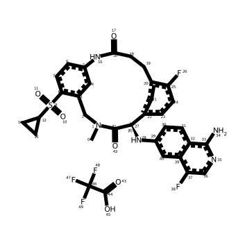 CN1Cc2cc(ccc2S(=O)(=O)C2CC2)NC(=O)CCc2cc(ccc2F)[C@@H](Nc2ccc3c(N)ncc(F)c3c2)C1=O.O=C(O)C(F)(F)F